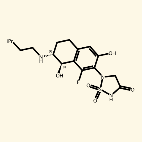 CC(C)CCN[C@@H]1CCc2cc(O)c(N3CC(=O)NS3(=O)=O)c(F)c2[C@H]1O